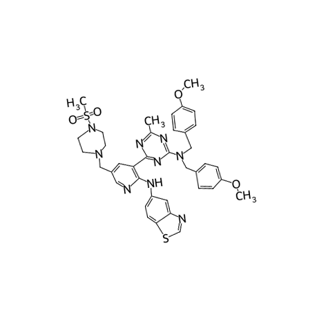 COc1ccc(CN(Cc2ccc(OC)cc2)c2nc(C)nc(-c3cc(CN4CCN(S(C)(=O)=O)CC4)cnc3Nc3ccc4scnc4c3)n2)cc1